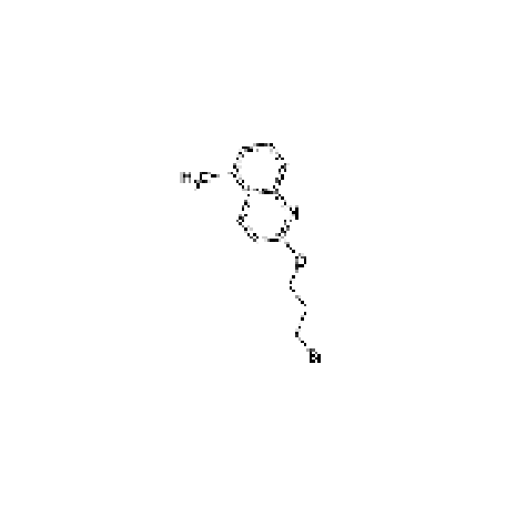 Cc1cccc2nc(OCCCBr)ccc12